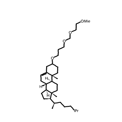 COCCOCOCCCOC1CC[C@@]2(C)C(=CC[C@H]3[C@@H]4CC[C@H]([C@H](C)CCCC(C)C)[C@@]4(C)CC[C@@H]32)C1